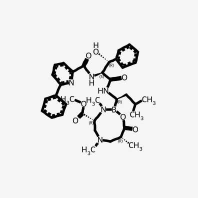 COC(=O)[C@H]1CN(C)C[C@@H](C)C(=O)OB([C@H](CC(C)C)NC(=O)[C@@H](NC(=O)c2cccc(-c3ccccc3)n2)[C@H](O)c2ccccc2)N1C